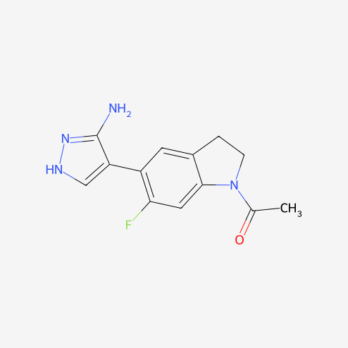 CC(=O)N1CCc2cc(-c3c[nH]nc3N)c(F)cc21